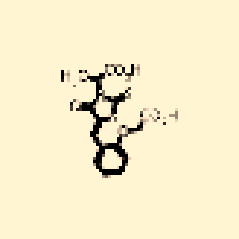 CC(C(=O)O)N1C(=O)C(=Cc2ccccc2OCC(=O)O)SC1=S